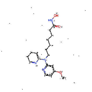 CCCOc1ccnc(N(CCCCCCC(=O)NO)C2=CCCC=N2)c1